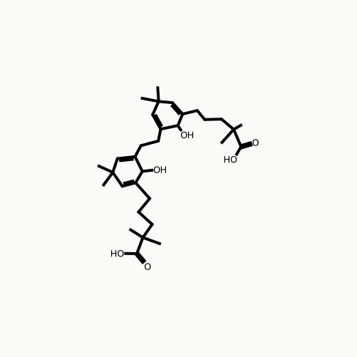 CC1(C)C=C(CCCC(C)(C)C(=O)O)C(O)C(CCC2=CC(C)(C)C=C(CCCC(C)(C)C(=O)O)C2O)=C1